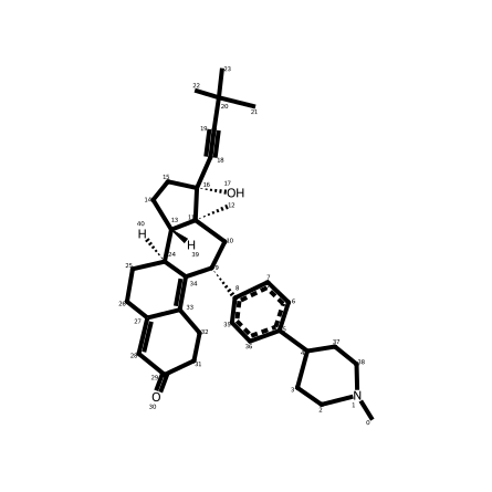 CN1CCC(c2ccc([C@H]3C[C@@]4(C)[C@@H](CC[C@@]4(O)C#CC(C)(C)C)[C@@H]4CCC5=CC(=O)CCC5=C43)cc2)CC1